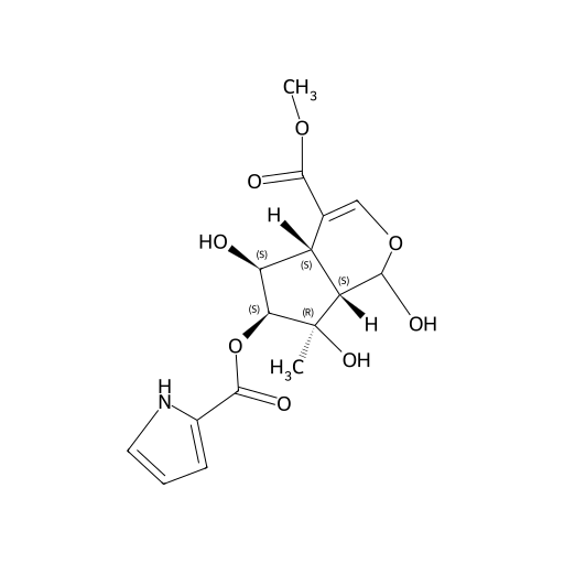 COC(=O)C1=COC(O)[C@H]2[C@@H]1[C@H](O)[C@H](OC(=O)c1ccc[nH]1)[C@]2(C)O